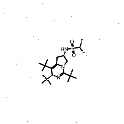 CC(C)(C)C1=N[C@@H](C(C)(C)C)C(C(C)(C)C)=C2C[C@@H](NS(=O)(=O)C(F)F)CN12